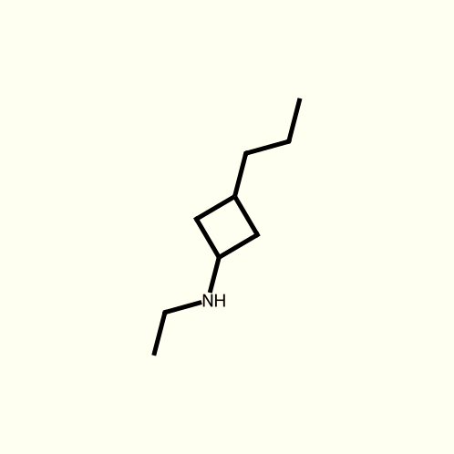 CCCC1CC(NCC)C1